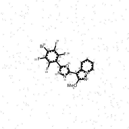 COc1nn2ccccc2c1-c1nnc(-c2c(F)c(F)c(Br)c(F)c2F)o1